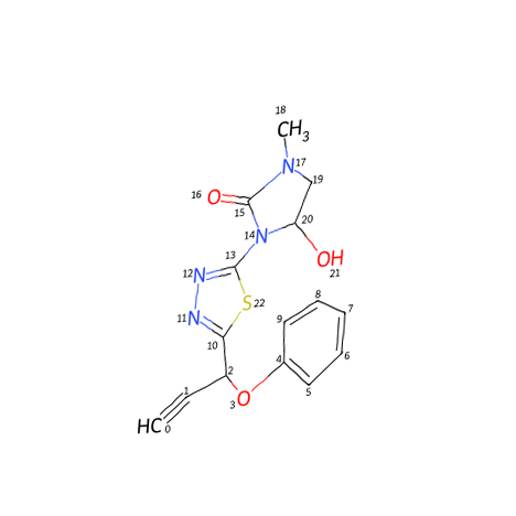 C#CC(Oc1ccccc1)c1nnc(N2C(=O)N(C)CC2O)s1